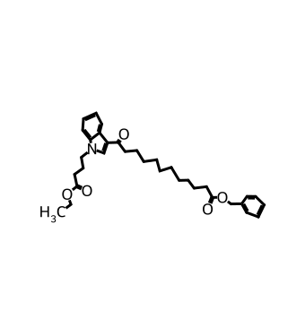 CCOC(=O)CCCn1cc(C(=O)CCCCCCCCCCC(=O)OCc2ccccc2)c2ccccc21